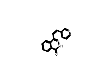 O=c1[nH]nc(/C=C\c2cccnc2)c2ccccc12